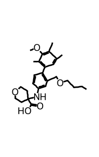 CCCCOCc1cc(NC2(C(=O)O)CCOCC2)ccc1-c1cc(C)c(C)c(OC)c1C